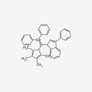 CC1=C(C)[CH]([Zr]([CH]2C=C(c3ccccc3)c3ccccc32)=[Ge]([c]2ccccc2)[c]2ccccc2)C(C)=C1C